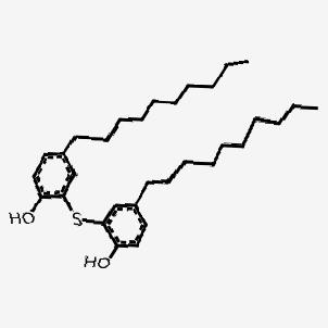 CCCCCCCCCCc1ccc(O)c(Sc2cc(CCCCCCCCCC)ccc2O)c1